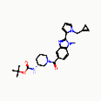 Cn1c(-c2cccn2CC2CC2)nc2cc(C(=O)N3CCC[C@@H](NC(=O)OC(C)(C)C)C3)ccc21